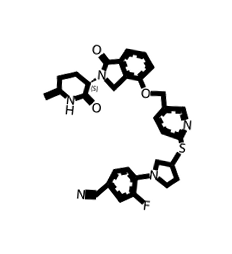 C=C1CC[C@H](N2Cc3c(OCc4ccc(SC5CCN(c6ccc(C#N)cc6F)C5)nc4)cccc3C2=O)C(=O)N1